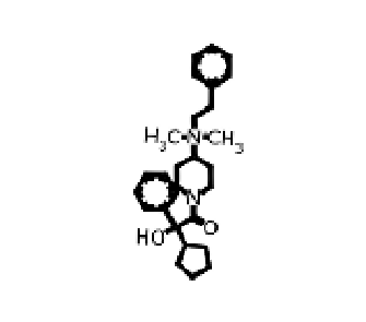 C[N+](C)(CCc1ccccc1)C1CCN(C(=O)C(O)(c2ccccc2)C2CCCC2)CC1